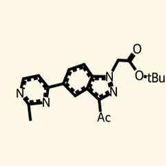 CC(=O)c1nn(CC(=O)OC(C)(C)C)c2ccc(-c3ccnc(C)n3)cc12